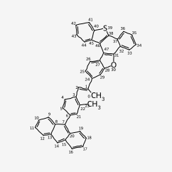 C/C(=C\c1ccc(-c2c3ccccc3cc3ccccc23)cc1C)c1ccc2c(c1)oc1c3ccccc3c3sc4ccccc4c3c21